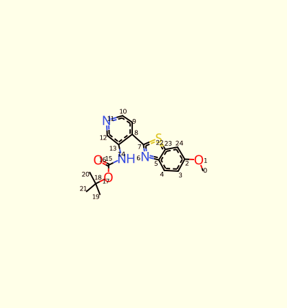 COc1ccc2nc(-c3ccncc3NC(=O)OC(C)(C)C)sc2c1